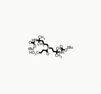 CC(C)(CCCN(CCC(C)(C)NC(=O)OC(C)(C)C)C(=O)CCC(=O)O)NC(=O)OC(C)(C)C